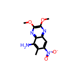 COc1nc2cc([N+](=O)[O-])c(C)c(N)c2nc1OC